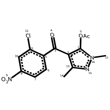 CC(=O)Oc1c(C(=O)c2ccc([N+](=O)[O-])cc2Cl)c(C)nn1C